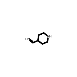 N=CC1CCNCC1